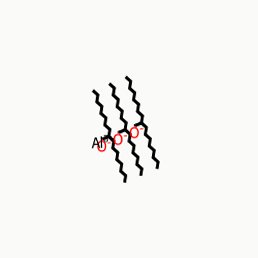 CCCCCCCCC(C[O-])CCCCCCCC.CCCCCCCCC(C[O-])CCCCCCCC.CCCCCCCCC(C[O-])CCCCCCCC.[Al+3]